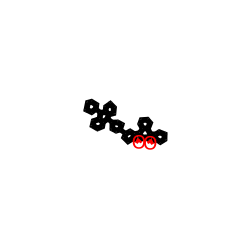 c1ccc(-c2c3ccccc3c(-c3ccc(-c4ccc5oc6c7oc8ccccc8c7c7ccccc7c6c5c4)cc3)c3ccccc23)cc1